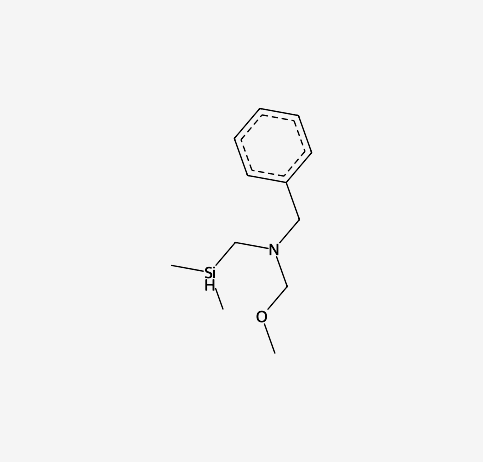 COCN(Cc1ccccc1)C[SiH](C)C